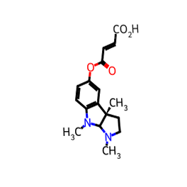 CN1CC[C@@]2(C)c3cc(OC(=O)/C=C/C(=O)O)ccc3N(C)C12